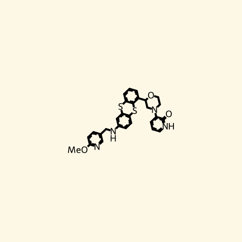 COc1ccc(CNc2ccc3c(c2)Sc2cccc(C4CN(c5ccc[nH]c5=O)CCO4)c2S3)cn1